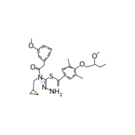 C=C(S/C(=N\N)N(CC1CC1)C(=O)Cc1cccc(OC)c1)c1cc(C)c(OCC(CC)OC)c(C)c1